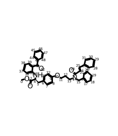 COC(=O)[C@H](Cc1ccc(OCCCN(Cc2ccccc2)C(=O)C=Cc2ccccc2)cc1)Nc1ccccc1C(=O)c1ccccc1